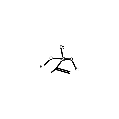 C=C(C)[Si](CC)(OCC)OCC